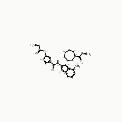 C=CC(=O)Nc1cc(C(=O)Nc2nc3cccc(C)c3n2[C@@H]2CCCCN(C(=O)C=C)C2)cs1